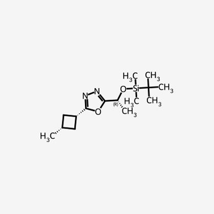 C[C@@H](O[Si](C)(C)C(C)(C)C)c1nnc([C@H]2C[C@@H](C)C2)o1